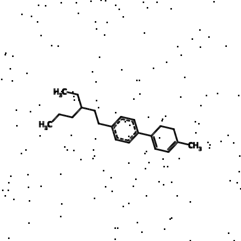 CCCC(CC)CCc1ccc(C2=CC=C(C)CC2)cc1